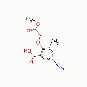 COC(=O)COc1c(C)cc(C#N)cc1C(=O)O